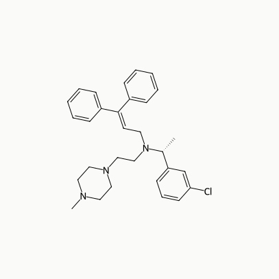 C[C@H](c1cccc(Cl)c1)N(CC=C(c1ccccc1)c1ccccc1)CCN1CCN(C)CC1